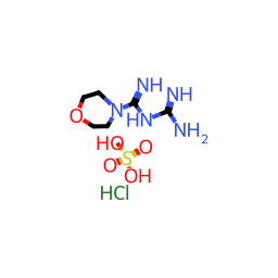 Cl.N=C(N)NC(=N)N1CCOCC1.O=S(=O)(O)O